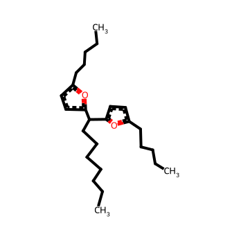 CCCCCCCC(c1ccc(CCCCC)o1)c1ccc(CCCCC)o1